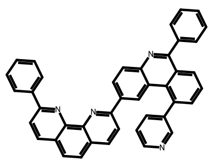 c1ccc(-c2ccc3ccc4ccc(-c5ccc6nc(-c7ccccc7)c7cccc(-c8cccnc8)c7c6c5)nc4c3n2)cc1